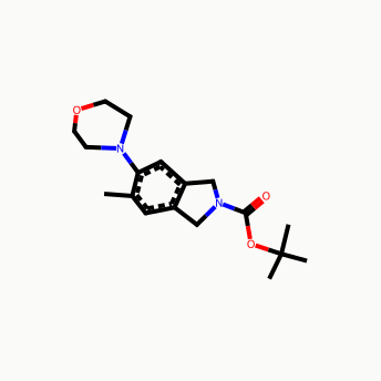 Cc1cc2c(cc1N1CCOCC1)CN(C(=O)OC(C)(C)C)C2